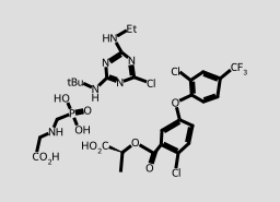 CCNc1nc(Cl)nc(NC(C)(C)C)n1.C[C@H](OC(=O)c1cc(Oc2ccc(C(F)(F)F)cc2Cl)ccc1Cl)C(=O)O.O=C(O)CNCP(=O)(O)O